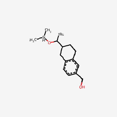 C[SiH](C)OC(C1CCc2cc(CO)ccc2C1)C(C)(C)C